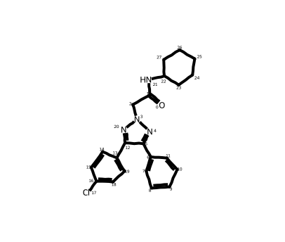 O=C(Cn1nc(-c2ccccc2)c(-c2ccc(Cl)cc2)n1)NC1CCCCC1